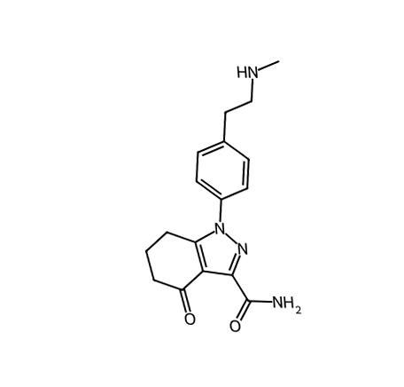 CNCCc1ccc(-n2nc(C(N)=O)c3c2CCCC3=O)cc1